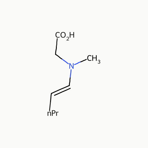 CCCC=CN(C)CC(=O)O